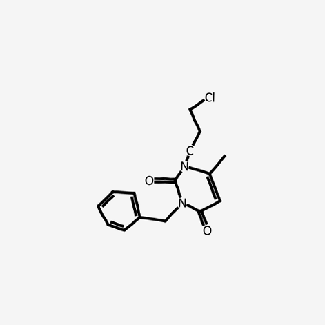 Cc1cc(=O)n(Cc2ccccc2)c(=O)n1CCCCl